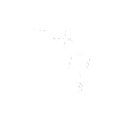 CCC(=S)P(=O)(O)Oc1cccc(C#N)c1